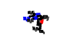 CN/C(CN)=C(/C)NCCC(C)(C)OCCC(C)C